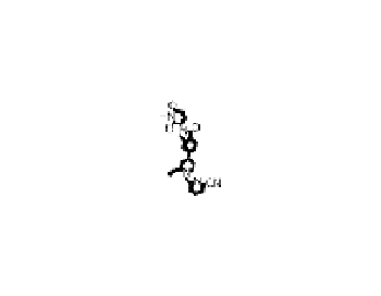 C#CC1CC(c2ccc3c(c2)CN(C2CCC(=O)NC2=O)C3=O)CCN1Cc1cccc(C#N)n1